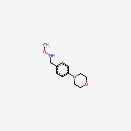 CONCc1ccc(N2CCOCC2)cc1